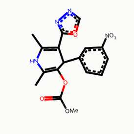 COC(=O)OC1=C(C)NC(C)=C(c2nnco2)C1c1cccc([N+](=O)[O-])c1